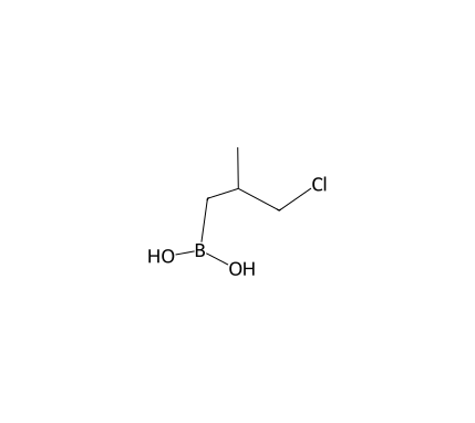 CC(CCl)CB(O)O